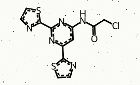 O=C(CCl)Nc1cc(-c2nccs2)nc(-c2nccs2)n1